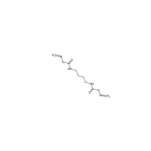 C=NOC(=S)NCCCCNC(=S)ON=C